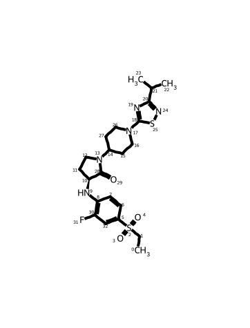 CCS(=O)(=O)c1ccc(N[C@H]2CCN(C3CCN(c4nc(C(C)C)ns4)CC3)C2=O)c(F)c1